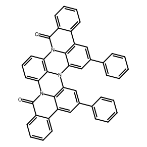 O=c1c2ccccc2c2cc(-c3ccccc3)cc3c2n1c1cccc2c1-n3c1cc(-c3ccccc3)cc3c4ccccc4c(=O)n2c31